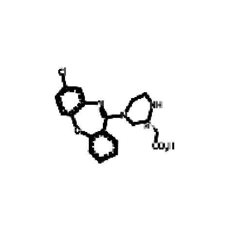 O=C(O)C[C@@H]1CN(C2=Nc3cc(Cl)ccc3Oc3ccccc32)CCN1